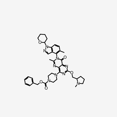 Cc1ccc2c(cnn2C2CCCCO2)c1-n1c(C)nc2c(N3CCN(C(=O)OCc4ccccc4)CC3)nc(OCC3CCCN3C)nc2c1=O